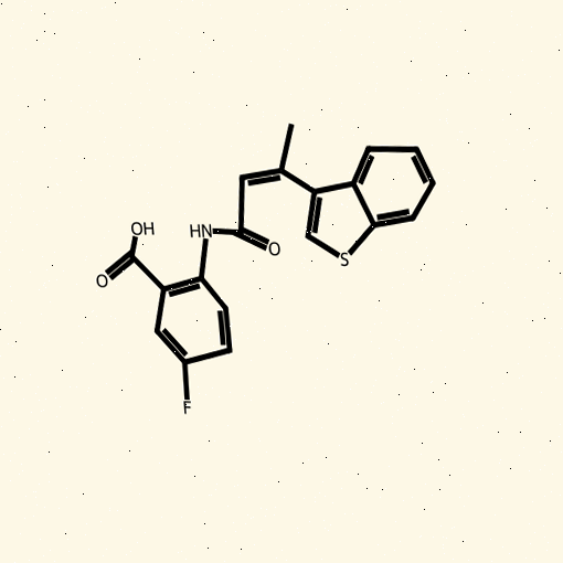 C/C(=C/C(=O)Nc1ccc(F)cc1C(=O)O)c1csc2ccccc12